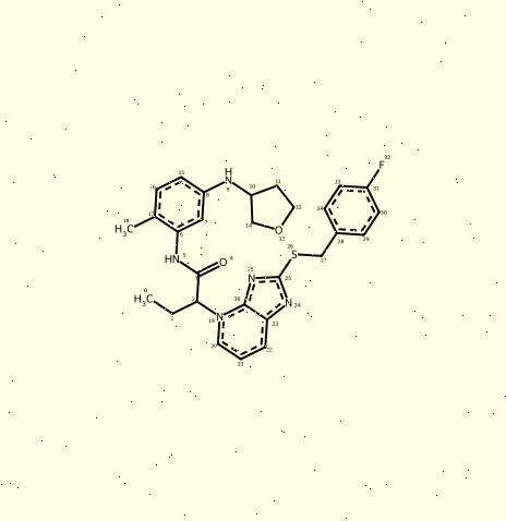 CCC(C(=O)Nc1cc(NC2CCOC2)ccc1C)n1cccc2nc(SCc3ccc(F)cc3)nc1-2